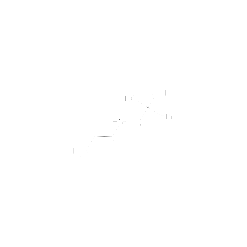 BCCNCC(C)(C)CCC